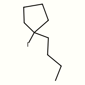 CCCCC1(I)CCCC1